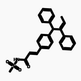 CC=C(c1ccccc1)C(c1ccccc1)c1ccc(C=CC(=O)NS(C)(=O)=O)cc1